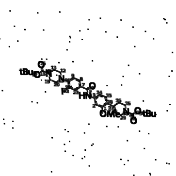 COc1cc(NC(=O)c2ccc(N3CCN(C(=O)OC(C)(C)C)CC3)c(F)c2)ccc1C1=CCN(C(=O)OC(C)(C)C)CC1